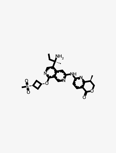 CC[C@@](C)(N)c1cnc(O[C@H]2C[C@@H](S(C)(=O)=O)C2)c2cnc(Nc3ccc4c(n3)[C@@H](C)COC4=O)cc12